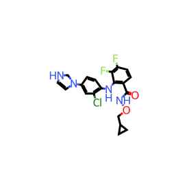 O=C(NOCC1CC1)c1ccc(F)c(F)c1Nc1ccc(N2C=CNC2)cc1Cl